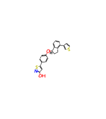 Oc1cc(-c2ccc(O[C@@H]3CCc4c(-c5ccsc5)cccc43)cc2)sn1